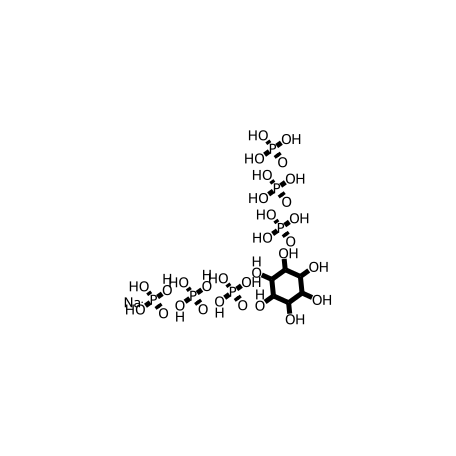 O=P(O)(O)O.O=P(O)(O)O.O=P(O)(O)O.O=P(O)(O)O.O=P(O)(O)O.O=P(O)(O)O.OC1C(O)C(O)C(O)C(O)C1O.[Na]